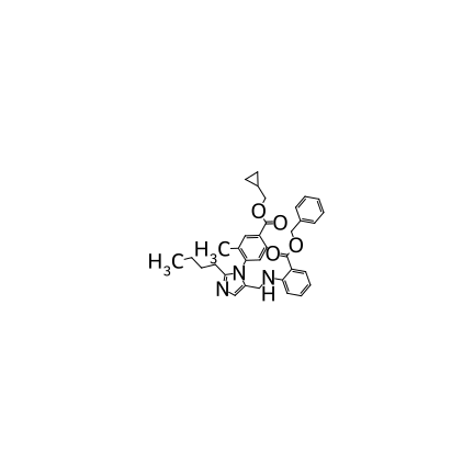 CCCCc1ncc(CNc2ccccc2C(=O)OCc2ccccc2)n1-c1ccc(C(=O)OCC2CC2)cc1C